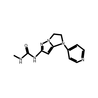 CNC(=O)Nc1cc2n(n1)CCN2c1ccncc1